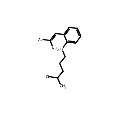 CC(=O)/C(=C/c1ccccc1OCCCC(C)Cl)[N+](=O)[O-]